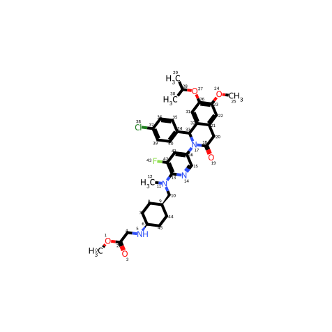 COC(=O)CN[C@H]1CC[C@@H](CN(C)c2ncc(N3C(=O)Cc4cc(OC)c(OC(C)C)cc4C3c3ccc(Cl)cc3)cc2F)CC1